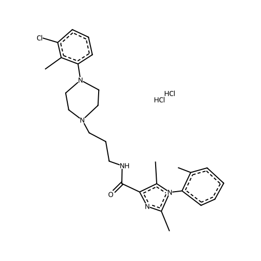 Cc1ccccc1-n1c(C)nc(C(=O)NCCCN2CCN(c3cccc(Cl)c3C)CC2)c1C.Cl.Cl